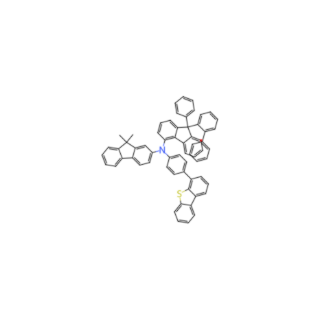 CC1(C)c2ccccc2-c2ccc(N(c3ccc(-c4cccc5c4sc4ccccc45)cc3)c3cccc4c3-c3ccccc3C4(c3ccccc3)c3ccccc3-c3ccccc3)cc21